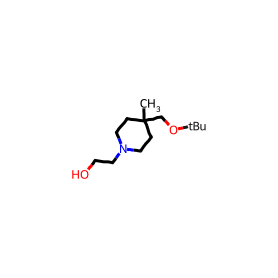 CC1(COC(C)(C)C)CCN(CCO)CC1